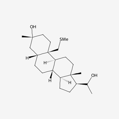 CSC[C@]12CC[C@@](C)(O)C[C@H]1CC[C@H]1[C@@H]3CC[C@H](C(C)O)[C@@]3(C)CC[C@@H]12